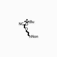 CCCCCCCCCCCCOCC(C#N)O[Si](C)(C)C(C)(C)C